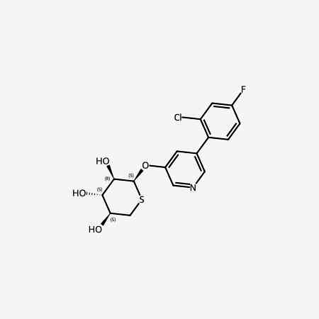 O[C@@H]1[C@@H](O)[C@@H](Oc2cncc(-c3ccc(F)cc3Cl)c2)SC[C@H]1O